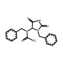 NC(=O)N(Cc1ccccc1)C1C(=O)NC(=O)N1Cc1ccccc1